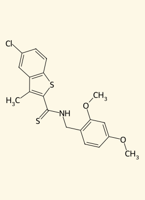 COc1ccc(CNC(=S)c2sc3ccc(Cl)cc3c2C)c(OC)c1